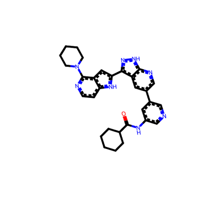 O=C(Nc1cncc(-c2cnc3[nH]nc(-c4cc5c(N6CCCCC6)nccc5[nH]4)c3c2)c1)C1CCCCC1